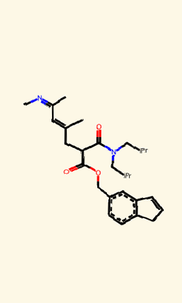 C/N=C(C)\C=C(/C)CC(C(=O)OCc1ccc2c(c1)C=CC2)C(=O)N(CC(C)C)CC(C)C